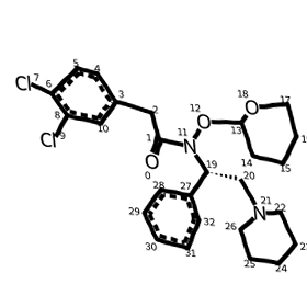 O=C(Cc1ccc(Cl)c(Cl)c1)N(OC1CCCCO1)[C@H](CN1CCCCC1)c1ccccc1